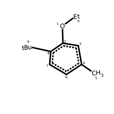 CCOc1cc(C)ccc1C(C)(C)C